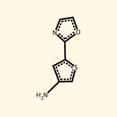 Nc1csc(-c2ncco2)c1